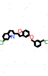 ClCc1cccc(COc2ccc3oc(-c4ccc5ccc(Cl)cc5n4)cc3c2)c1